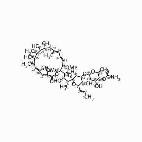 C/C=C/[C@H]1O[C@@](O)([C@@H](C)[C@H](O)[C@H](C)[C@H]2OC(=O)/C(OC)=C/C(C)=C/[C@@H](C)[C@@H](O)[C@@H](C)[C@@H](O)[C@H](C)C/C(C)=C/C=C/[C@@H]2OC)C[C@@H](O[C@@H]2C[C@H](O)[C@@H](OC(N)=O)[C@H](C)O2)[C@@H]1C